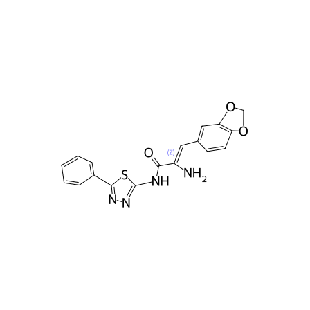 N/C(=C\c1ccc2c(c1)OCO2)C(=O)Nc1nnc(-c2ccccc2)s1